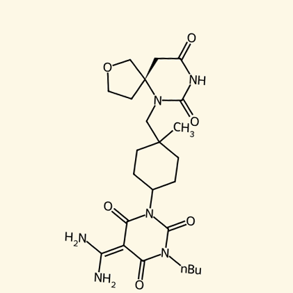 CCCCN1C(=O)C(=C(N)N)C(=O)N(C2CCC(C)(CN3C(=O)NC(=O)C[C@]34CCOC4)CC2)C1=O